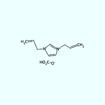 C=CCn1cc[n+](CC=C)c1.O=C([O-])O